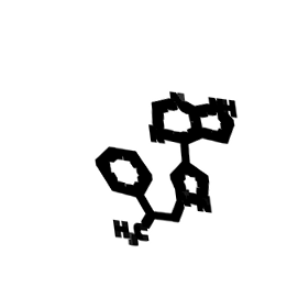 CC(Cn1cc(-c2ncnc3[nH]ccc23)cn1)c1ccccc1